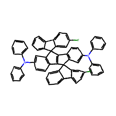 Fc1ccc2c(c1)C1(C3=C(c4ccc(N(c5ccccc5)c5ccccc5)cc41)C1(c4cc(N(c5ccccc5)c5ccccc5)ccc43)c3ccccc3-c3ccc(F)cc31)c1ccccc1-2